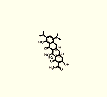 CC(C)c1cc(N(C)C)c2c(c1O)C(=O)C1=C(O)[C@]3(O)C(=O)C(C(N)=O)=C(O)C[C@@H]3C[C@@H]1C2